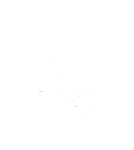 C#Cc1ccc(C(C#N)(CC=C)Cn2cncn2)cc1